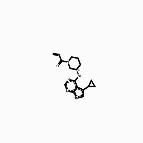 C=CC(=O)N1CCC[C@@H](Nc2ncnc3[nH]cc(C4CC4)c23)C1